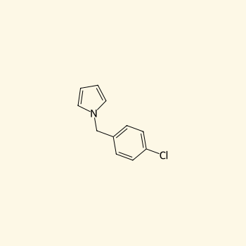 Clc1ccc(Cn2cccc2)cc1